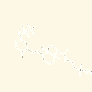 CC1CCC(O[Si](C)(C)C(C)(C)C)C/C1=C\C=C1/CCC[C@@]2(C)[C@@H]1CC[C@@H]2[C@H](C)OCCC(C)(C)O